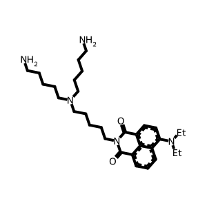 CCN(CC)c1ccc2c3c(cccc13)C(=O)N(CCCCCN(CCCCCN)CCCCCN)C2=O